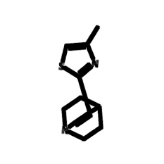 Cc1csc(C2=CN3CCC2CC3)n1